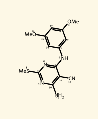 COc1cc(Nc2nc(SC)nc(N)c2C#N)cc(OC)c1